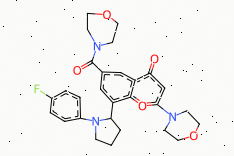 O=C(c1cc(C2CCCN2c2ccc(F)cc2)c2oc(N3CCOCC3)cc(=O)c2c1)N1CCOCC1